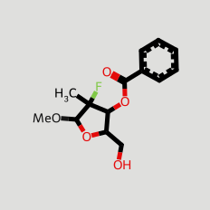 COC1OC(CO)C(OC(=O)c2ccccc2)C1(C)F